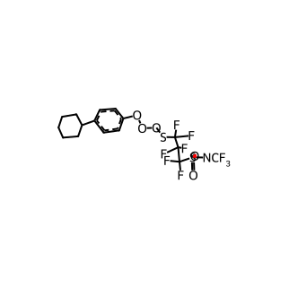 O=S(=O)(NC(F)(F)F)C(F)(F)C(F)(F)C(F)(F)SOOOc1ccc(C2CCCCC2)cc1